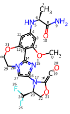 COc1cc(N[C@@H](C)C(N)=O)cc2c1-c1nc(N3C(=C=O)OC[C@H]3C(F)F)cn1CCO2